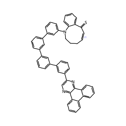 S=C1/C=C\CCCN(c2cccc(-c3cccc(-c4cccc(-c5cccc(-c6cnc7c8ccccc8c8ccccc8c7n6)c5)c4)c3)c2)c2ccccc21